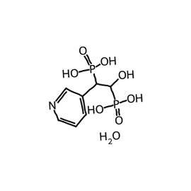 O.O=P(O)(O)C(O)C(c1cccnc1)P(=O)(O)O